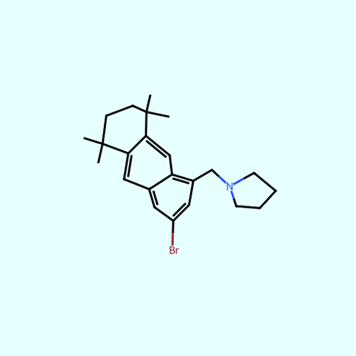 CC1(C)CCC(C)(C)c2cc3c(CN4CCCC4)cc(Br)cc3cc21